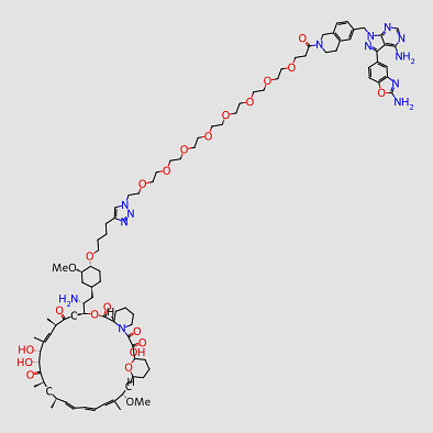 CO[C@H]1C[C@@H]2CCC[C@@](O)(O2)C(=O)C(=O)N2CCCC[C@H]2C(=O)O[C@H]([C@H](N)C[C@@H]2CC[C@@H](OCCCCc3cn(CCOCCOCCOCCOCCOCCOCCOCCOCCC(=O)N4CCc5cc(Cn6nc(-c7ccc8oc(N)nc8c7)c7c(N)ncnc76)ccc5C4)nn3)[C@H](OC)C2)CC(=O)[C@H](C)/C=C(\C)[C@@H](O)[C@@H](O)C(=O)[C@H](C)C[C@H](C)/C=C/C=C/C=C/1C